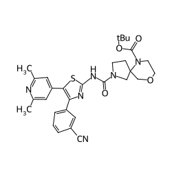 Cc1cc(-c2sc(NC(=O)N3CCC4(COCCN4C(=O)OC(C)(C)C)C3)nc2-c2cccc(C#N)c2)cc(C)n1